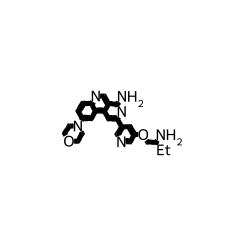 CC[C@H](N)COc1cncc(-c2cc3c(cnc4ccc(N5CCOCC5)cc43)c(N)n2)c1